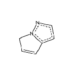 C1=Cc2ccnn2C1